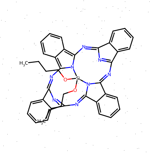 CCCCO[Si]1(OCCCC)n2c3c4ccccc4c2/N=C2N=C(/N=c4/c5ccccc5/c(n41)=N/C1=NC(=N\3)/c3ccccc31)c1ccccc1\2